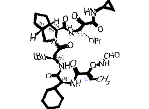 C/C=C(\ONC=O)C(=O)N[C@H](C(=O)N[C@H](C(=O)N1C[C@@H]2CCC[C@@H]2[C@H]1C(=O)N[C@@H](CCC)C(=O)C(=O)NC1CC1)C(C)(C)C)C1CCCCC1